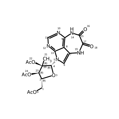 CC(=O)OC[C@H]1O[C@@H](n2cc3c4c(ncnc42)NC(=O)C(=O)N3)[C@](C)(OC(C)=O)[C@@H]1OC(C)=O